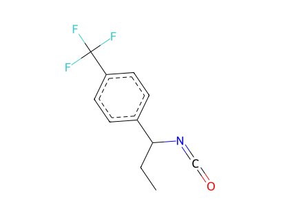 CCC(N=C=O)c1ccc(C(F)(F)F)cc1